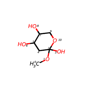 COC1(O)CC(O)C(O)CO1